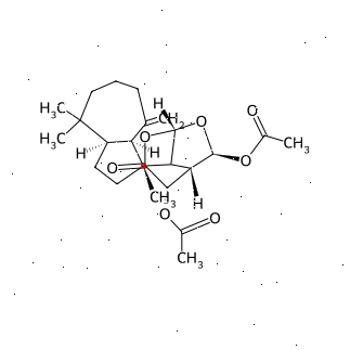 C=C1CCCC(C)(C)[C@@H]2CC[C@@](C)(C3[C@@H]4OC(=O)[C@@H](OC(C)=O)[C@H]3[C@H](OC(C)=O)O4)[C@H]12